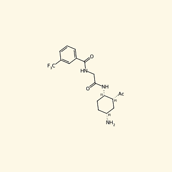 CC(=O)[C@@H]1C[C@H](N)CC[C@@H]1NC(=O)CNC(=O)c1cccc(C(F)(F)F)c1